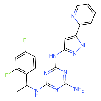 CC(Nc1nc(N)nc(Nc2cc(-c3ccccn3)[nH]n2)n1)c1ccc(F)cc1F